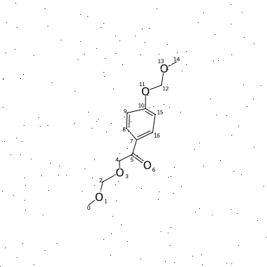 COCOCC(=O)c1ccc(OCOC)cc1